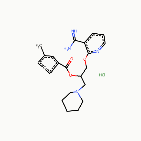 Cl.N=C(N)c1cccnc1OCC(CN1CCCCC1)OC(=O)c1cccc(C(F)(F)F)c1